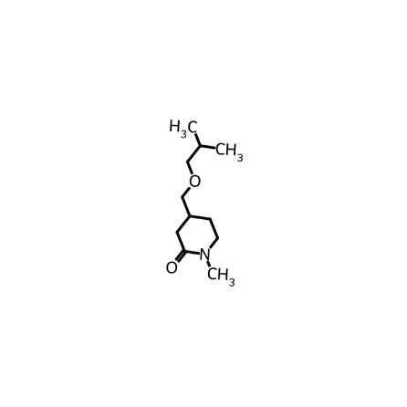 CC(C)COCC1CCN(C)C(=O)C1